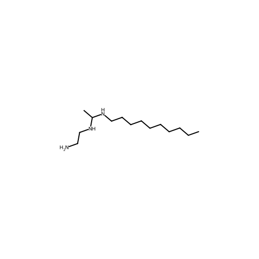 CCCCCCCCCCNC(C)NCCN